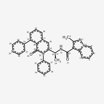 Cc1nn2cccnc2c1C(=O)N[C@@H](C)c1cc2cccc(-c3ccncc3)c2c(=O)n1-c1ccccc1